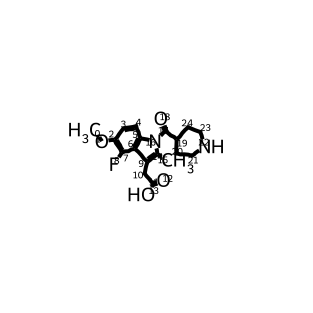 COc1ccc2c(c1F)c(CC(=O)O)c(C)n2C(=O)C1CCNCC1